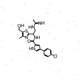 CC(=N)NCC(NC(=O)c1cc(-c2ccc(Cl)cc2)c[nH]1)c1nc(C)c(CO)s1